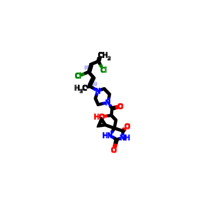 C=C(Cl)/C=C(Cl)\C=C(/C)N1CCN(C(=O)C(O)CC2(C3CC3)NC(=O)NC2=O)CC1